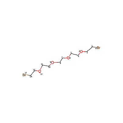 BrCCOCCOCCOCCOCCBr